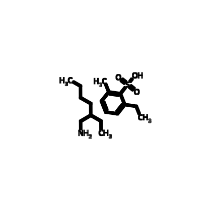 CCCCC(CC)CN.CCc1cccc(C)c1S(=O)(=O)O